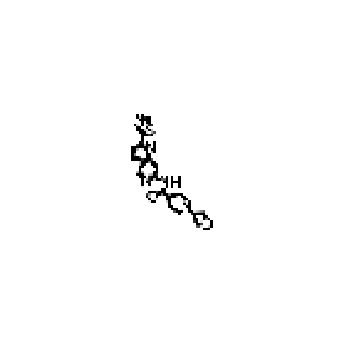 O=C(Nc1cc2nc(-c3cncs3)ccc2cn1)C1CCN(C2COC2)CC1